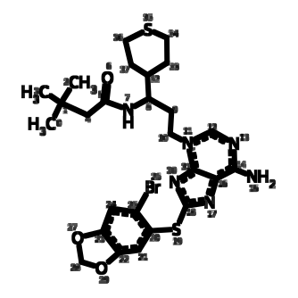 CC(C)(C)CC(=O)NC(CCn1cnc(N)c2nc(Sc3cc4c(cc3Br)OCO4)nc1-2)C1CCSCC1